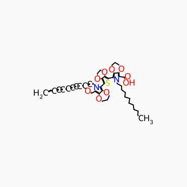 C=C=C=C=C=C=C=C=C=C=C=Cn1c(C=O)c2c(c1-c1sc(-c3c4c(c(C(=O)O)n3CCCCCCCCCCCC)OCCCO4)c3c1OCCO3)OCCCO2